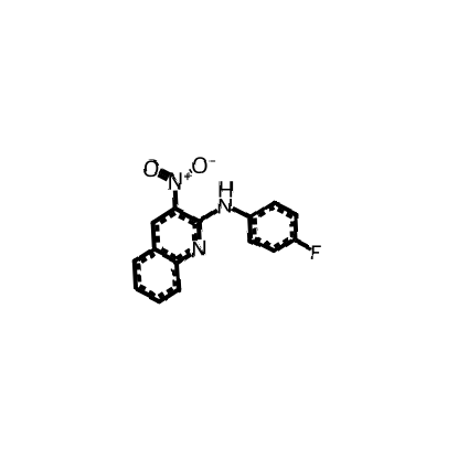 O=[N+]([O-])c1cc2ccccc2nc1Nc1ccc(F)cc1